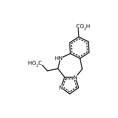 O=C(O)CC1Nc2cc(C(=O)O)ccc2Cn2ccnc21